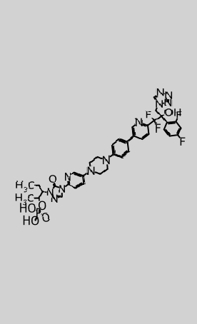 CCC(C(C)OP(=O)(O)O)n1ncn(-c2ccc(N3CCN(c4ccc(-c5ccc(C(F)(F)C(O)(Cn6cnnn6)c6ccc(F)cc6F)nc5)cc4)CC3)cn2)c1=O